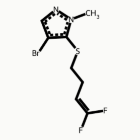 Cn1ncc(Br)c1SCCC=C(F)F